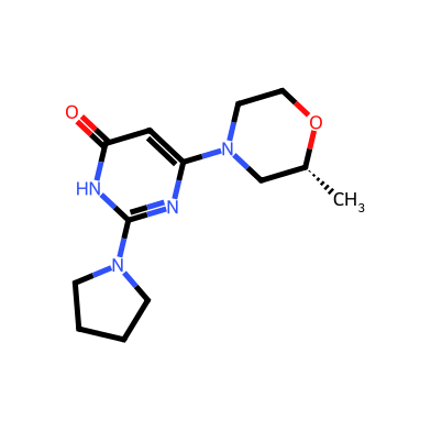 C[C@@H]1CN(c2cc(=O)[nH]c(N3CCCC3)n2)CCO1